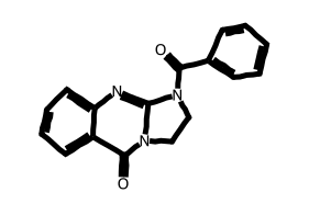 O=C(c1ccccc1)N1CCn2c1nc1ccccc1c2=O